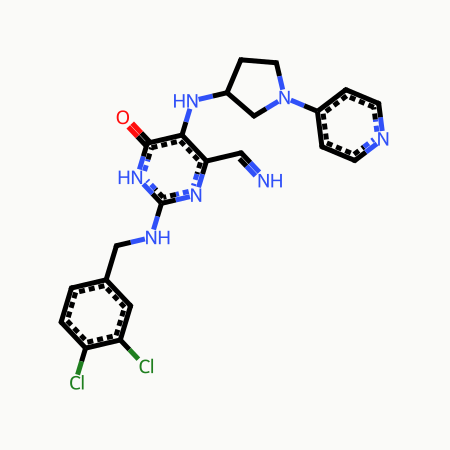 N=Cc1nc(NCc2ccc(Cl)c(Cl)c2)[nH]c(=O)c1NC1CCN(c2ccncc2)C1